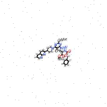 COc1nc(NCC(NC(=O)OCc2ccccc2)C(=O)OC(C)(C)C)c(C)c(N2CCC(c3ccc4cccnc4n3)CC2)n1